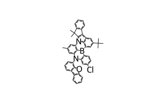 Cc1cc2c3c(c1)-n1c4c(c5cc(C(C)(C)C)cc(c51)B3c1ccc(Cl)cc1N2c1cccc2c1oc1ccccc12)-c1ccccc1C4(C)C